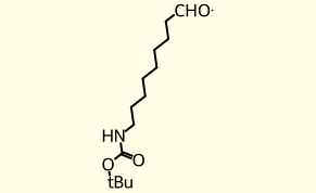 CC(C)(C)OC(=O)NCCCCCCCC[C]=O